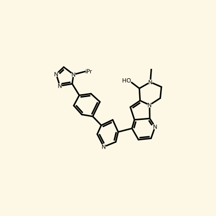 CC(C)n1cnnc1-c1ccc(-c2cncc(-c3ccnc4c3cc3n4CCN(C)C3O)c2)cc1